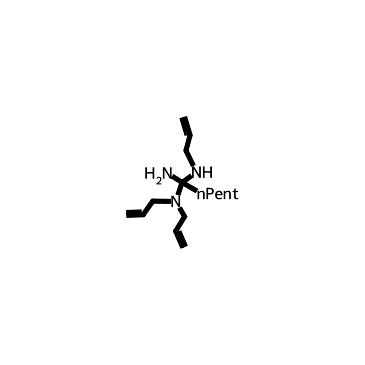 C=CCNC(N)(CCCCC)N(CC=C)CC=C